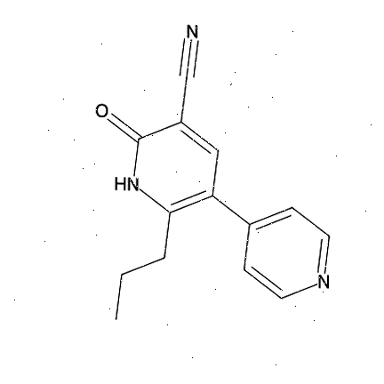 CCCc1[nH]c(=O)c(C#N)cc1-c1ccncc1